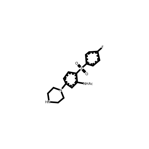 CC(=O)Nc1cc(N2CCNCC2)ccc1S(=O)(=O)c1ccc(F)cc1